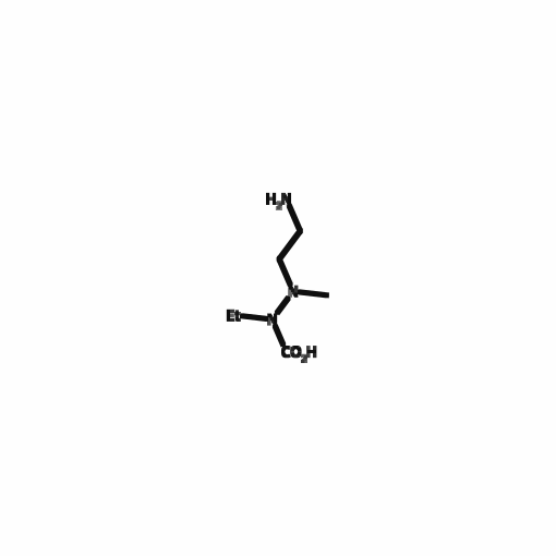 CCN(C(=O)O)N(C)CCN